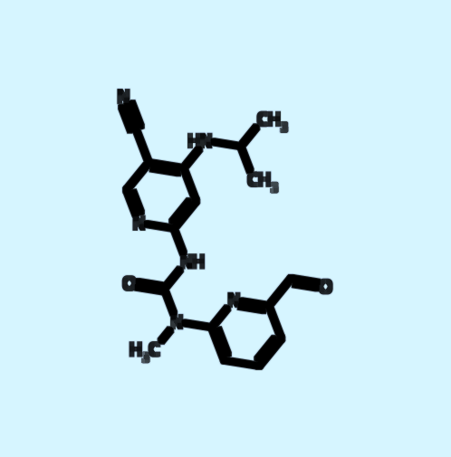 CC(C)Nc1cc(NC(=O)N(C)c2cccc(C=O)n2)ncc1C#N